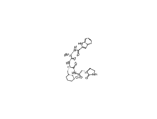 CC(C)(C)[C@H](NC(=O)c1cc2ccccc2[nH]1)C(=O)N[C@@H](CC1CCCCC1)C(=O)N[C@H](C=O)C[C@@H]1CCNC1=O